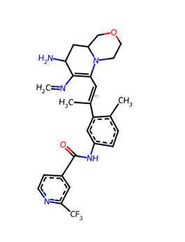 C=NC1=C(/C=C(\C)c2cc(NC(=O)c3ccnc(C(F)(F)F)c3)ccc2C)N2CCOCC2CC1N